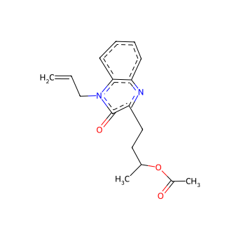 C=CCn1c(=O)c(CCC(C)OC(C)=O)nc2ccccc21